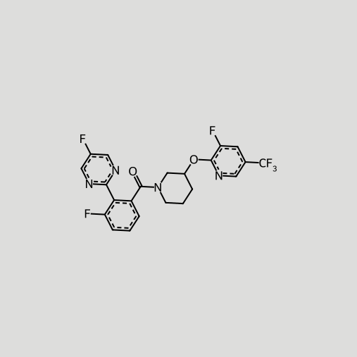 O=C(c1cccc(F)c1-c1ncc(F)cn1)N1CCCC(Oc2ncc(C(F)(F)F)cc2F)C1